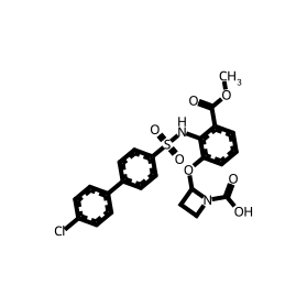 COC(=O)c1cccc(OC2CCN2C(=O)O)c1NS(=O)(=O)c1ccc(-c2ccc(Cl)cc2)cc1